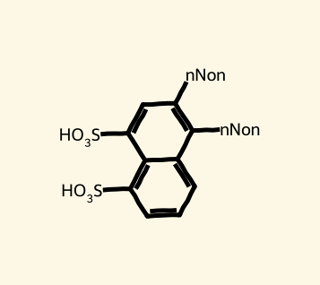 CCCCCCCCCc1cc(S(=O)(=O)O)c2c(S(=O)(=O)O)cccc2c1CCCCCCCCC